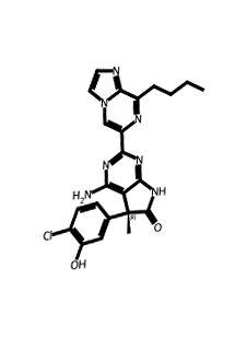 CCCCc1nc(-c2nc(N)c3c(n2)NC(=O)[C@]3(C)c2ccc(Cl)c(O)c2)cn2ccnc12